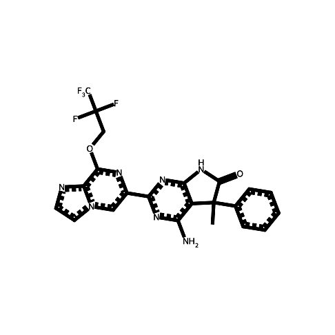 CC1(c2ccccc2)C(=O)Nc2nc(-c3cn4ccnc4c(OCC(F)(F)C(F)(F)F)n3)nc(N)c21